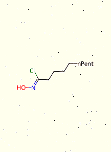 CCCCCCCCC/C(Cl)=N/O